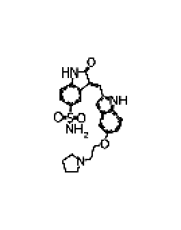 NS(=O)(=O)c1ccc2c(c1)/C(=C\c1cc3cc(OCCN4CCCC4)ccc3[nH]1)C(=O)N2